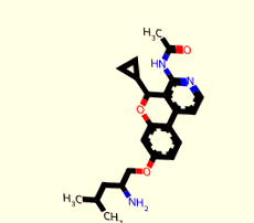 CC(=O)Nc1nccc2c1C(C1CC1)Oc1cc(OCC(N)CC(C)C)ccc1-2